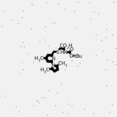 Cc1cc(CSC[C@H](NC(=O)OC(C)(C)C)C(=O)O)nc(-n2c(C)ccc2C)c1